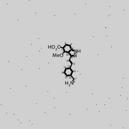 COc1c(C(=O)O)ccc2[nH]nc(C=Cc3cccc(CN)c3)c12